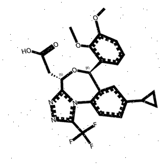 COc1cccc([C@@H]2O[C@@H](CC(=O)O)c3nnc(C(F)(F)F)n3-c3ccc(C4CC4)cc32)c1OC